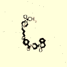 CC(=O)N1CCN(CCCCOc2ccc(C(=O)N3CCC(N4C(=O)CCc5ccccc54)CC3)cc2)CC1